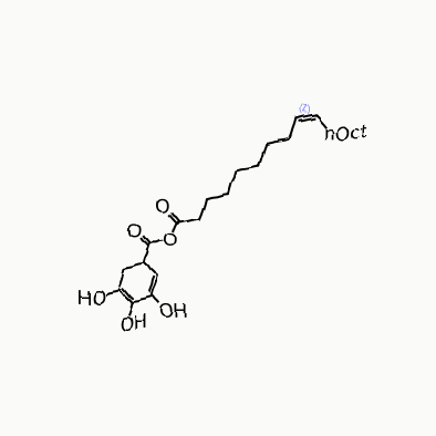 CCCCCCCC/C=C\CCCCCCCC(=O)OC(=O)C1C=C(O)C(O)=C(O)C1